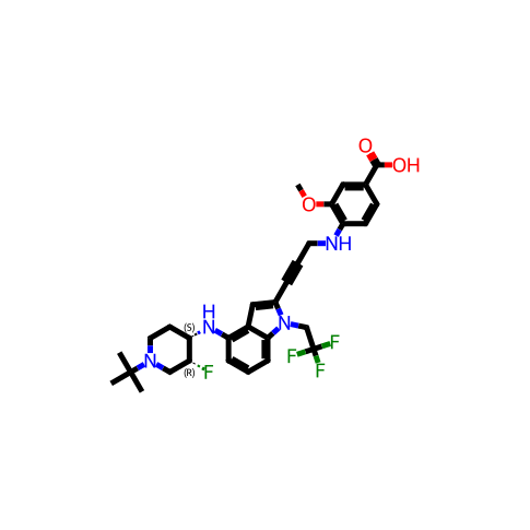 COc1cc(C(=O)O)ccc1NCC#Cc1cc2c(N[C@H]3CCN(C(C)(C)C)C[C@H]3F)cccc2n1CC(F)(F)F